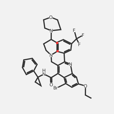 CCOc1cc(Br)c2c(C(=O)NC3(c4ccccc4)CC3)c(CN3CCC(N4CCOCC4)CC3)c(-c3cccc(C(F)(F)F)c3)nc2c1